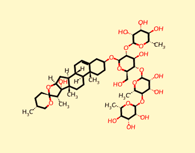 C[C@@H]1CC[C@@]2(OC1)O[C@H]1C[C@H]3[C@@H]4CC=C5C[C@@H](O[C@@H]6O[C@H](CO)[C@@H](O[C@@H]7O[C@@H](C)[C@H](O[C@@H]8O[C@@H](C)[C@H](O)[C@@H](O)[C@H]8O)[C@@H](O)[C@H]7O)[C@H](O)[C@H]6O[C@@H]6O[C@@H](C)[C@H](O)[C@@H](O)[C@H]6O)CC[C@]5(C)[C@H]4CC[C@]3(C)[C@@]1(O)[C@@H]2C